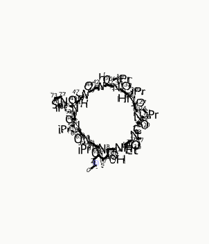 C/C=C/C[C@@H](C)[C@@H](O)[C@H]1C(=O)N[C@@H](CC)C(=O)N(C)CC(=O)N(C)[C@@H](CC(C)C)C(=O)N[C@@H](C(C)C)C(=O)N(C)[C@@H](CC(C)C)C(=O)N[C@@H](C)C(=O)N[C@H](C)C(=O)N(C)[C@@H](CC(C)C)C(=O)N(C)[C@@H](CC(C)C)C(=O)N(C)[C@@H](C(C)C)C(=O)N1C.c1cscn1